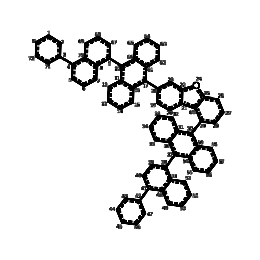 c1ccc(-c2cccc3c(-c4c5ccccc5c(-c5ccc6c(c5)oc5cccc(-c7c8ccccc8c(-c8ccc(-c9ccccc9)c9ccccc89)c8ccccc78)c56)c5ccccc45)cccc23)cc1